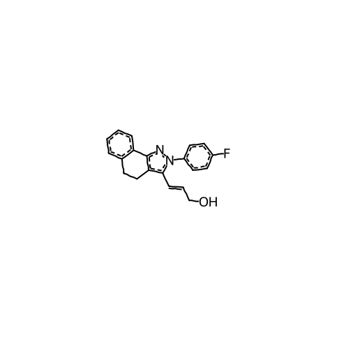 OCC=Cc1c2c(nn1-c1ccc(F)cc1)-c1ccccc1CC2